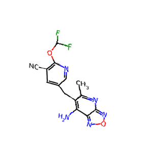 Cc1nc2nonc2c(N)c1Cc1cnc(OC(F)F)c(C#N)c1